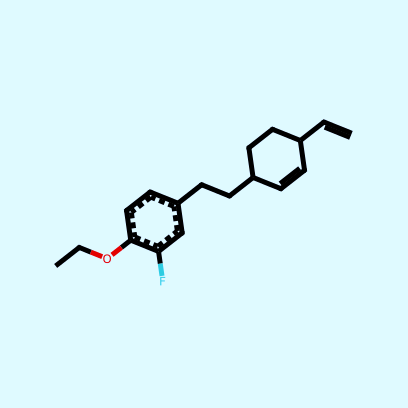 C=CC1C=CC(CCc2ccc(OCC)c(F)c2)CC1